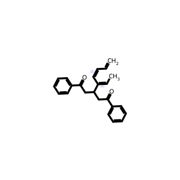 C=C/C=C\C(=C/C)C(CC(=O)c1ccccc1)CC(=O)c1ccccc1